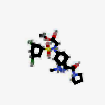 Cn1nc(C(=O)N2CCCC2)c2ccc(N(CC(=O)OC(C)(C)C)S(=O)(=O)c3cc(Cl)cc(Cl)c3)cc21